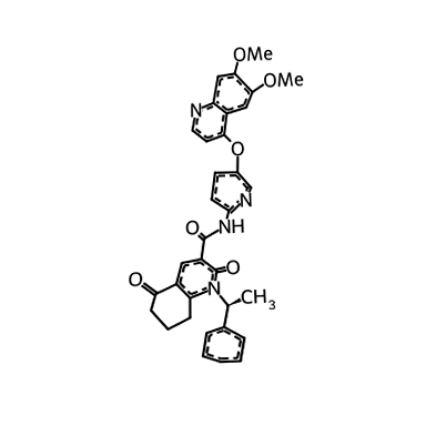 COc1cc2nccc(Oc3ccc(NC(=O)c4cc5c(n([C@@H](C)c6ccccc6)c4=O)CCCC5=O)nc3)c2cc1OC